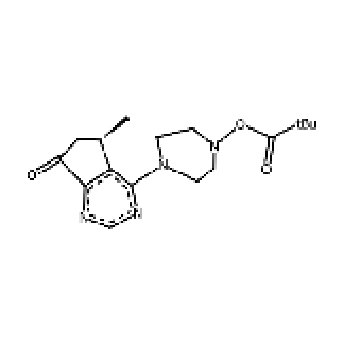 C[C@@H]1CC(=O)c2ncnc(N3CCN(OC(=O)C(C)(C)C)CC3)c21